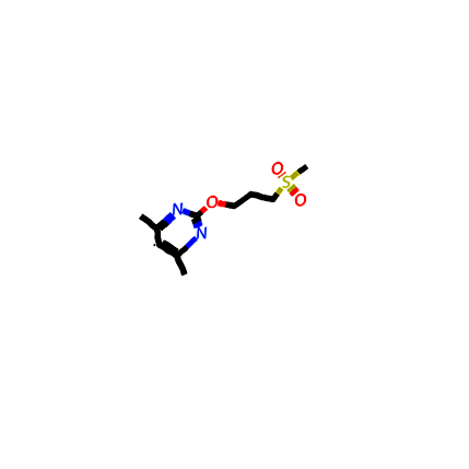 Cc1[c]c(C)nc(OCCCS(C)(=O)=O)n1